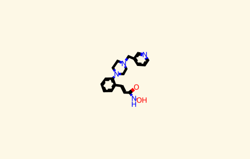 O=C(C=Cc1ccccc1N1CCN(Cc2cccnc2)CC1)NO